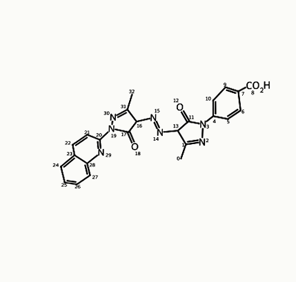 CC1=NN(c2ccc(C(=O)O)cc2)C(=O)C1N=NC1C(=O)N(c2ccc3ccccc3n2)N=C1C